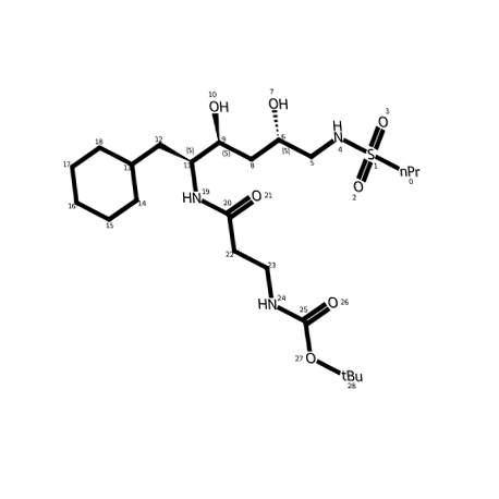 CCCS(=O)(=O)NC[C@@H](O)C[C@H](O)[C@H](CC1CCCCC1)NC(=O)CCNC(=O)OC(C)(C)C